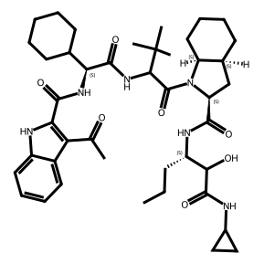 CCC[C@H](NC(=O)[C@@H]1C[C@@H]2CCCC[C@@H]2N1C(=O)C(NC(=O)[C@@H](NC(=O)c1[nH]c2ccccc2c1C(C)=O)C1CCCCC1)C(C)(C)C)C(O)C(=O)NC1CC1